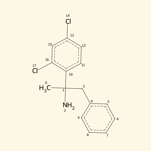 CC(N)(Cc1ccccc1)c1ccc(Cl)cc1Cl